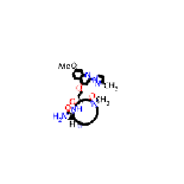 COc1ccc2c(OCC[C@@H]3CC(=O)N(C)CCCCC/C=C\[C@@H]4C[C@@]4(C(N)=O)NC3=O)cc(-n3ccc(C)n3)nc2c1